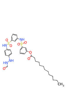 CCCCCCCCCCCCC(=O)Oc1cccc(S(=O)(=O)Nc2cccc(S(=O)(=O)Nc3ccc(NNC=O)cc3)c2)c1